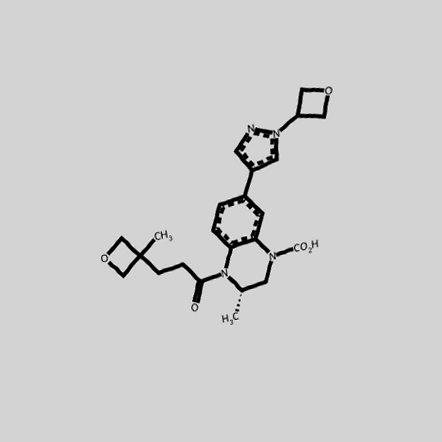 C[C@H]1CN(C(=O)O)c2cc(-c3cnn(C4COC4)c3)ccc2N1C(=O)CCC1(C)COC1